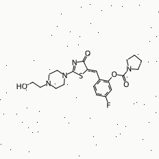 O=C1N=C(N2CCN(CCO)CC2)SC1=Cc1ccc(F)cc1OC(=O)N1CCCC1